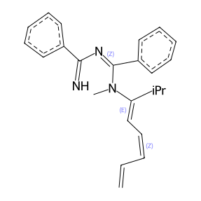 C=C/C=C\C=C(/C(C)C)N(C)/C(=N\C(=N)c1ccccc1)c1ccccc1